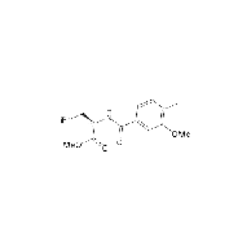 COC(=O)[C@@H](CC(C)C)NC(=O)c1ccc(C)c(OC)c1